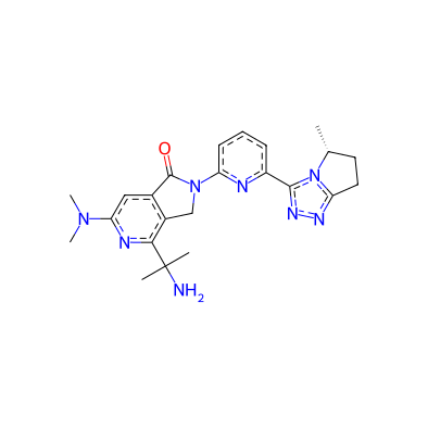 C[C@@H]1CCc2nnc(-c3cccc(N4Cc5c(cc(N(C)C)nc5C(C)(C)N)C4=O)n3)n21